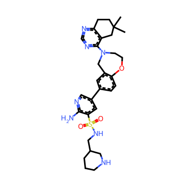 CC1(C)CCc2ncnc(N3CCOc4ccc(-c5cnc(N)c(S(=O)(=O)NCC6CCCNC6)c5)cc4C3)c2C1